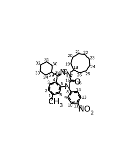 Cc1ccc2c(c1)N(c1ccc([N+](=O)[O-])cc1)C(=O)N(C1CCCCCCCC1)N=C2C1CCCCC1